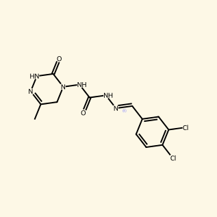 CC1=NNC(=O)N(NC(=O)N/N=C/c2ccc(Cl)c(Cl)c2)C1